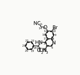 CC(Nc1c([N+](=O)[O-])cnc2cc(Br)c(OCC#N)cc12)c1ccccc1